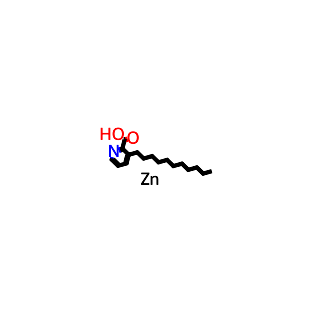 CCCCCCCCCCCc1cccnc1C(=O)O.[Zn]